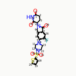 O=C1CCC(N2Cc3cc(N4CCN(S(=O)(=O)c5cccs5)CC4)c(F)cc3C2=O)C(=O)N1